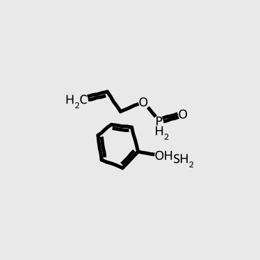 C=CCO[PH2]=O.Oc1ccccc1.S